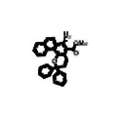 COC(=O)c1c2c(c3c(ccc4ccccc43)c1C)OC(c1ccccc1)(c1ccccc1)C=C2